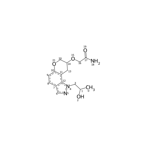 CC(O)Cn1ncc2ccc3c(c21)CC(OCC(N)=O)CO3